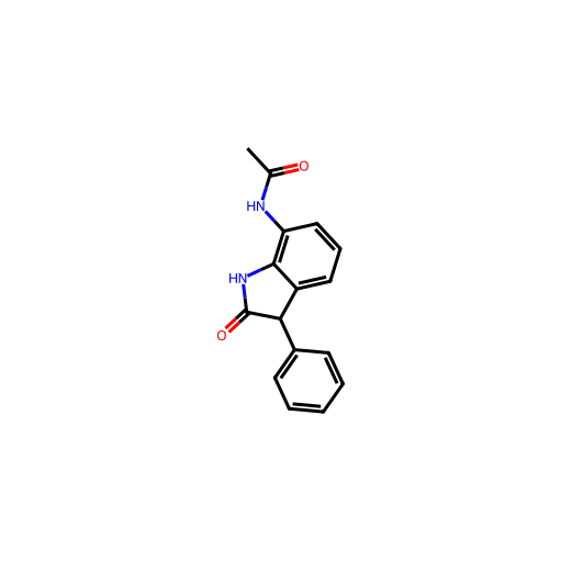 CC(=O)Nc1cccc2c1NC(=O)C2c1ccccc1